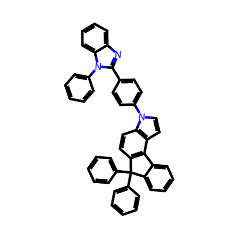 c1ccc(-n2c(-c3ccc(-n4ccc5c6c(ccc54)C(c4ccccc4)(c4ccccc4)c4ccccc4-6)cc3)nc3ccccc32)cc1